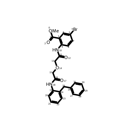 COC(=O)c1cc(Br)ccc1NC(=O)COCC(=O)Nc1ccccc1Cc1ccccc1